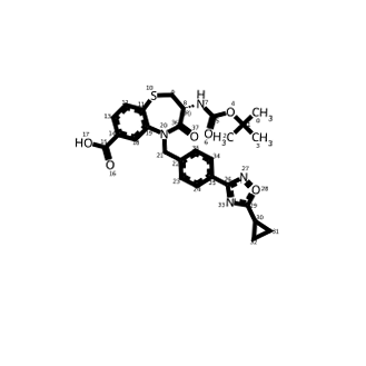 CC(C)(C)OC(=O)N[C@H]1CSc2ccc(C(=O)O)cc2N(Cc2ccc(-c3noc(C4CC4)n3)cc2)C1=O